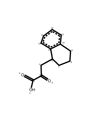 O=C(O)C(=O)CC1CCCc2ccccc21